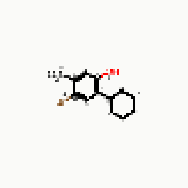 O=[N+]([O-])c1cc(O)c(C2CCCCC2)cc1Br